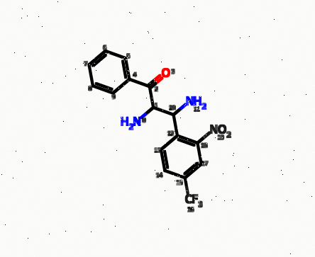 NC(C(=O)c1ccccc1)C(N)c1ccc(C(F)(F)F)cc1[N+](=O)[O-]